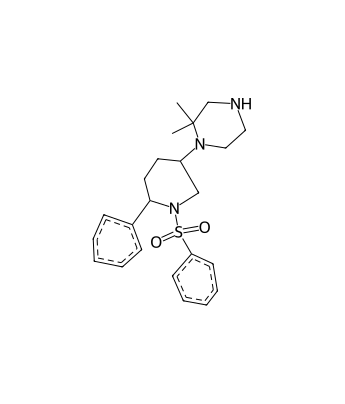 CC1(C)CNCCN1C1CCC(c2ccccc2)N(S(=O)(=O)c2ccccc2)C1